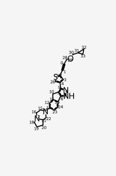 C(#Cc1cc(-c2n[nH]c3c2Cc2cc(N4CCN5CCCC5C4)ccc2-3)cs1)COCC1CC1